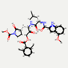 COC(=O)N1CC[C@@H](C[C@H](NC(=O)[C@H](CC(C)C)NC(=O)c2cc3c(OC)cccc3[nH]2)C(=O)COC(=O)c2c(C)cccc2C)C1=O